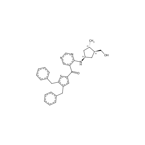 C[C@H]1C[C@H](Nc2ncncc2C(=O)c2cc(Cc3ccccc3)c(Cc3ccccc3)s2)C[C@@H]1CO